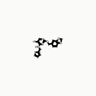 Fc1cnc(OCc2ccc3c(c2)OCO3)nc1NCc1cccs1